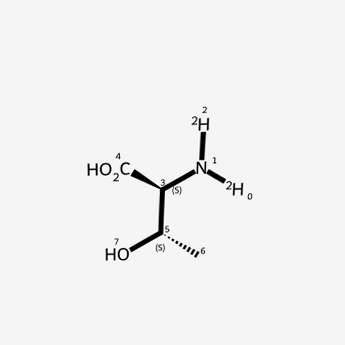 [2H]N([2H])[C@H](C(=O)O)[C@H](C)O